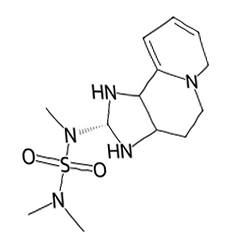 CN(C)S(=O)(=O)N(C)[C@H]1NC2CCN3CC=CC=C3C2N1